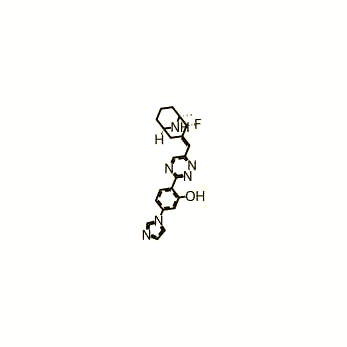 C[C@]12CCC[C@H](C/C(=C\c3cnc(-c4ccc(-n5ccnc5)cc4O)nn3)[C@H]1F)N2